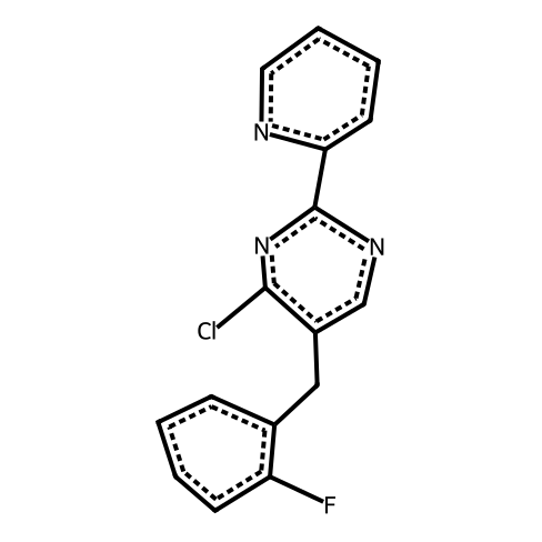 Fc1ccccc1Cc1cnc(-c2ccccn2)nc1Cl